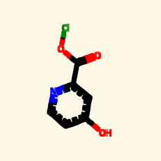 O=C(OCl)c1cc(O)ccn1